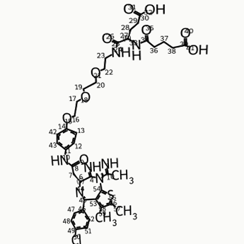 CC(=N)N1C(=N)[C@H](CC(=O)Nc2ccc(OCCOCCOCCNC(=O)[C@@H](CCC(=O)O)NC(=O)CCCC(=O)O)cc2)N=C(c2ccc(Cl)cc2)c2c1sc(C)c2C